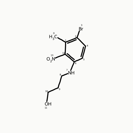 Cc1c(Br)ccc(NCCCO)c1[N+](=O)[O-]